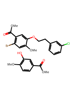 COC(=O)c1cc(OCCc2cccc(Cl)c2)c(OC)cc1Br.COC(=O)c1ccc(OC)c(O)c1